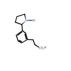 CC(=O)N1CCCC1c1cccc(CCC(=O)O)c1